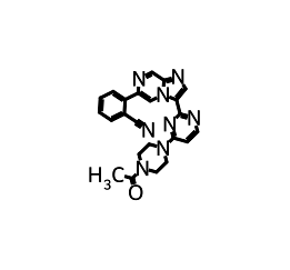 CC(=O)N1CCN(c2ccnc(-c3cnc4cnc(-c5ccccc5C#N)cn34)n2)CC1